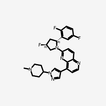 CN1CCC(n2cc(-c3ccnc4ccc(N5C[C@@H](F)C[C@@H]5c5cc(F)ccc5F)nc34)cn2)CC1